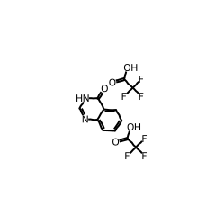 O=C(O)C(F)(F)F.O=C(O)C(F)(F)F.O=c1[nH]cnc2ccccc12